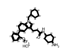 Cl.NC1CCC(NC(=O)CCc2cn(CC3CCCCC3)c3ccc(-c4ccccc4OC(F)(F)F)cc23)CC1